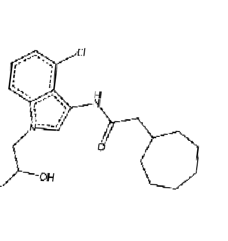 CC(O)Cn1cc(NC(=O)CC2CCCCCC2)c2c(Cl)cccc21